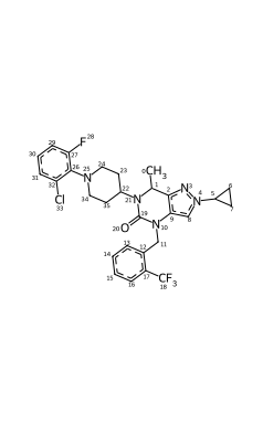 CC1c2nn(C3CC3)cc2N(Cc2ccccc2C(F)(F)F)C(=O)N1C1CCN(c2c(F)cccc2Cl)CC1